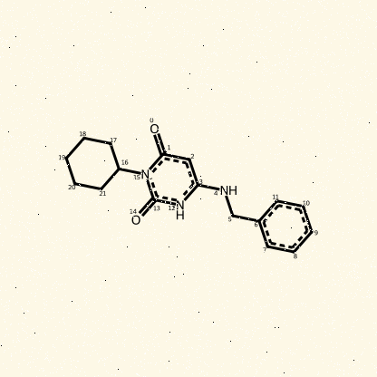 O=c1cc(NCc2ccccc2)[nH]c(=O)n1C1CCCCC1